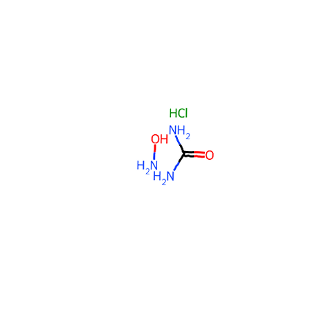 Cl.NC(N)=O.NO